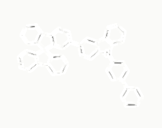 C1=CC2=C(CC1)C1(c3cc(-c4ccc5c(c4)c4ccccc4n5-c4ccc(-c5ccccc5)cc4)ccc32)c2ccccc2-c2ccccc21